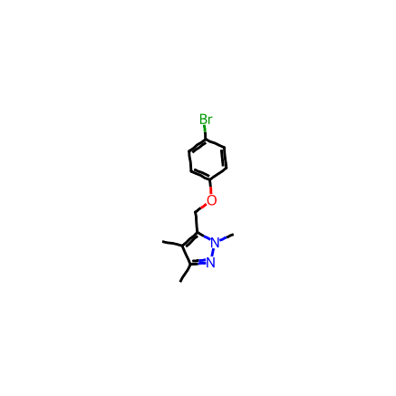 Cc1nn(C)c(COc2ccc(Br)cc2)c1C